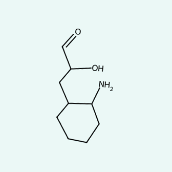 NC1CCCCC1CC(O)C=O